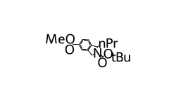 CCCC1c2ccc(C(=O)OC)cc2CN1C(=O)OC(C)(C)C